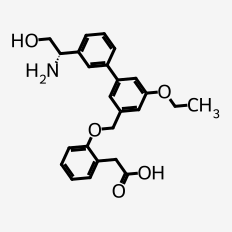 CCOc1cc(COc2ccccc2CC(=O)O)cc(-c2cccc([C@H](N)CO)c2)c1